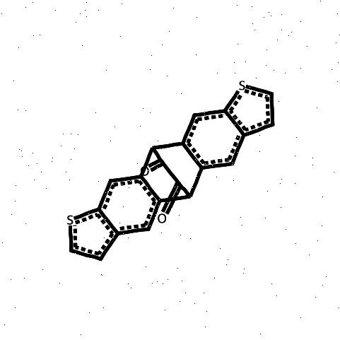 O=C1C(=O)C2c3cc4sccc4cc3C1c1cc3ccsc3cc12